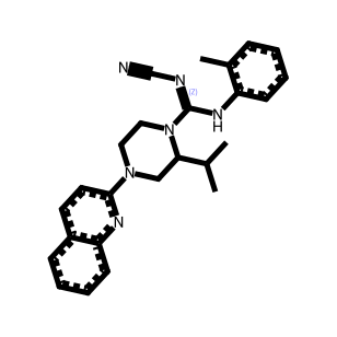 Cc1ccccc1N/C(=N/C#N)N1CCN(c2ccc3ccccc3n2)CC1C(C)C